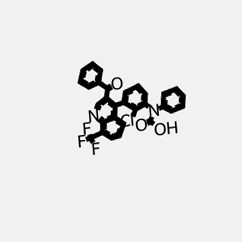 O=C(c1ccccc1)c1cnc2c(C(F)(F)F)cccc2c1-c1cccc(N(C(=O)O)c2ccccc2)c1Cl